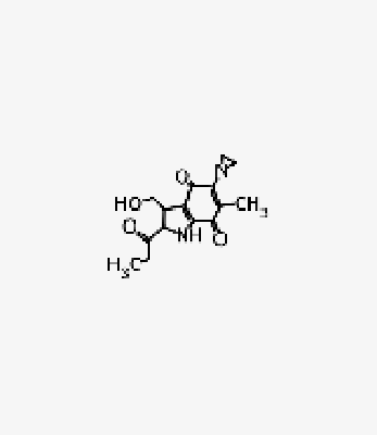 CCC(=O)c1[nH]c2c(c1CO)C(=O)C(N1CC1)=C(C)C2=O